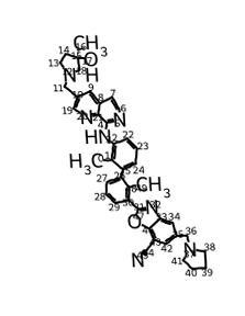 Cc1c(Nc2nccc3cc(CN4CC[C@@](C)(O)C4)cnc23)cccc1-c1cccc(-c2nc3cc(CN4CCCC4)cc(C#N)c3o2)c1C